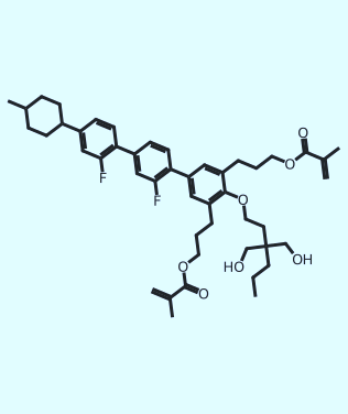 C=C(C)C(=O)OCCCc1cc(-c2ccc(-c3ccc(C4CCC(C)CC4)cc3F)cc2F)cc(CCCOC(=O)C(=C)C)c1OCCC(CO)(CO)CCC